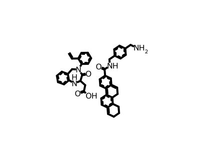 C=Cc1ccccc1N1Cc2ccccc2NC(CC(=O)O)C1=O.NCc1ccc(CNC(=O)c2ccc3c(c2)=CCc2c4c(ccc2=3)=CCCC4)cc1